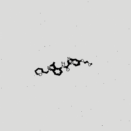 COCCOc1ccn2c(C(=O)Nc3cccc4c3c(C)nn4CC3CCCCO3)cnc2c1